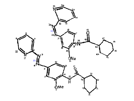 COc1cc(/N=N/c2ccccn2)ccc1NC(=O)C1CCCCC1.COc1cc(/N=N\c2ccccn2)ccc1NC(=O)C1CCCCC1